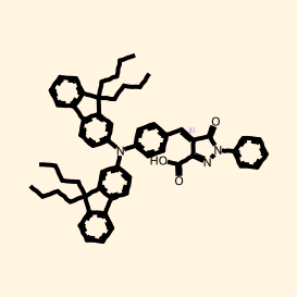 CCCCC1(CCCC)c2ccccc2-c2ccc(N(c3ccc(/C=C4/C(=O)N(c5ccccc5)N=C4C(=O)O)cc3)c3ccc4c(c3)C(CCCC)(CCCC)c3ccccc3-4)cc21